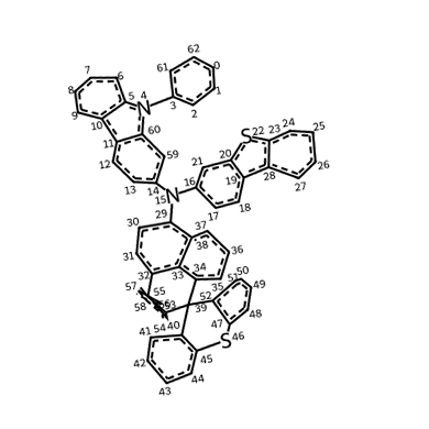 c1ccc(-n2c3ccccc3c3ccc(N(c4ccc5c(c4)sc4ccccc45)c4ccc5c6c(cccc46)C4(c6ccccc6Sc6ccccc64)c4ccccc4-5)cc32)cc1